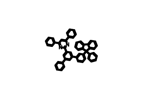 c1ccc(-c2cc(-c3cccc(C4(c5ccccc5)c5ccccc5-c5ccccc54)c3)cc(-c3nc(-c4ccccc4)cc(-c4ccccc4)n3)c2)cc1